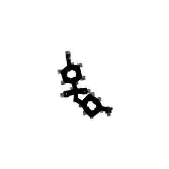 O=S(=O)(Cc1ccc(Br)cc1)c1ccc(F)cc1